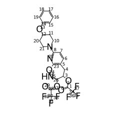 O=C(OC1Cc2ccc(N3CCC(Oc4ccccc4)CC3)nc2ONC1OC(=O)C(F)(F)F)C(F)(F)F